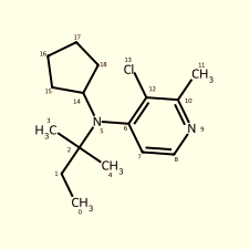 CCC(C)(C)N(c1ccnc(C)c1Cl)C1CCCC1